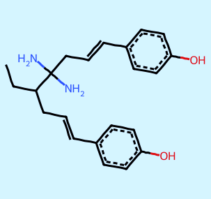 CCC(CC=Cc1ccc(O)cc1)C(N)(N)CC=Cc1ccc(O)cc1